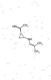 CC(=N)[C@@H]1CC1NC=C(C)C